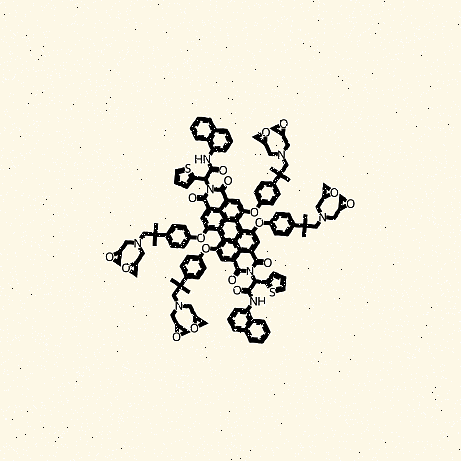 CC(C)(CN(CC1CO1)CC1CO1)c1ccc(Oc2cc3c4c(cc(Oc5ccc(C(C)(C)CN(CC6CO6)CC6CO6)cc5)c5c6c(Oc7ccc(C(C)(C)CN(CC8CO8)CC8CO8)cc7)cc7c8c(cc(Oc9ccc(C(C)(C)CN(CC%10CO%10)CC%10CO%10)cc9)c(c2c45)c86)C(=O)N(C(C(=O)Nc2cccc4ccccc24)c2cccs2)C7=O)C(=O)N(C(C(=O)Nc2cccc4ccccc24)c2cccs2)C3=O)cc1